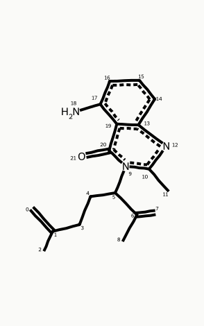 C=C(C)CCC(C(=C)C)n1c(C)nc2cccc(N)c2c1=O